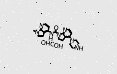 Cn1ccc2c(NC(=O)N3CCc4c(N5CCNCC5)ccnc43)ccnc21.O=CO